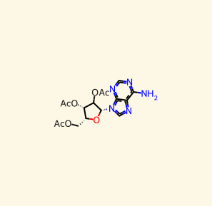 CC(=O)OC[C@H]1O[C@@H](n2cnc3c(N)ncnc32)C(OC(C)=O)[C@H]1OC(C)=O